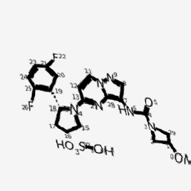 COC1CN(C(=O)Nc2cnn3ccc(N4CCC[C@@H]4c4cc(F)ccc4F)nc23)C1.O=S(=O)(O)O